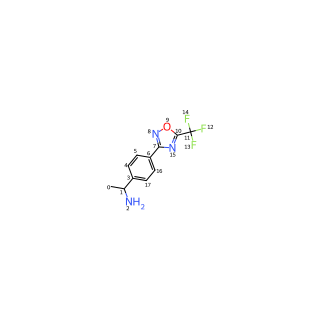 CC(N)c1ccc(-c2noc(C(F)(F)F)n2)cc1